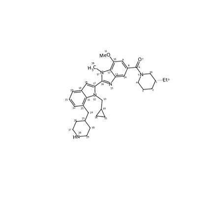 CC[C@@H]1CCCN(C(=O)c2cc(OC)c3c(c2)nc(-c2cc4cccc(CC5CCNCC5)c4n2CC2CC2)n3C)C1